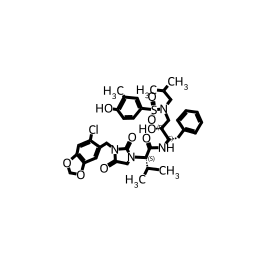 Cc1cc(S(=O)(=O)N(CC(C)C)C[C@@H](O)[C@H](Cc2ccccc2)NC(=O)[C@H](C(C)C)N2CC(=O)N(Cc3cc4c(cc3Cl)OCO4)C2=O)ccc1O